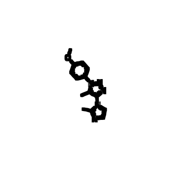 COc1ccc(-n2nnc(-n3ccnc3C)c2C)cc1